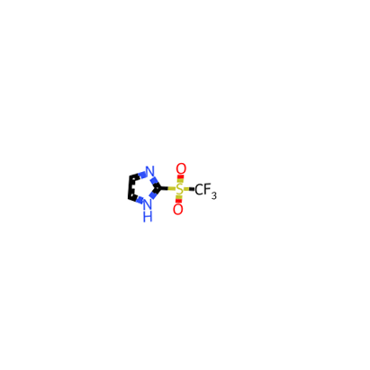 O=S(=O)(c1ncc[nH]1)C(F)(F)F